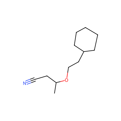 CC(CC#N)OCCC1CCCCC1